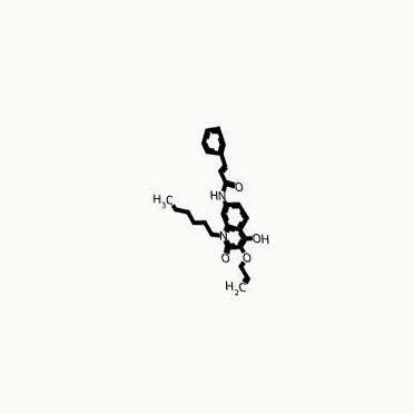 C=CCOc1c(O)c2ccc(NC(=O)/C=C/c3ccccc3)cc2n(CCCCCC)c1=O